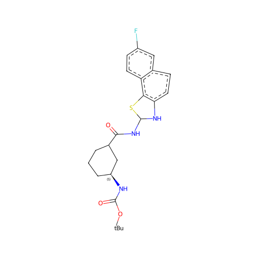 CC(C)(C)OC(=O)N[C@H]1CCCC(C(=O)NC2Nc3ccc4cc(F)ccc4c3S2)C1